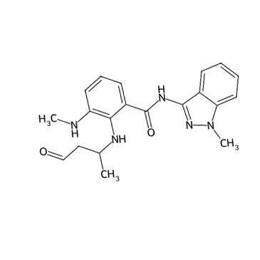 CNc1cccc(C(=O)Nc2nn(C)c3ccccc23)c1NC(C)CC=O